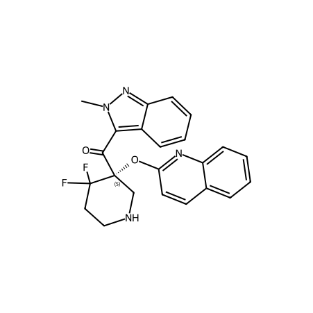 Cn1nc2ccccc2c1C(=O)[C@@]1(Oc2ccc3ccccc3n2)CNCCC1(F)F